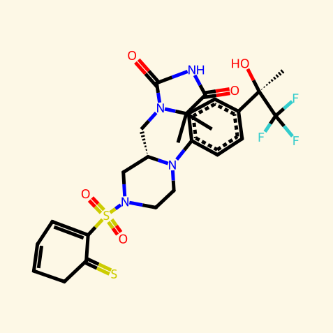 CC1(C)C(=O)NC(=O)N1C[C@H]1CN(S(=O)(=O)C2=CC=CCC2=S)CCN1c1ccc([C@@](C)(O)C(F)(F)F)cc1